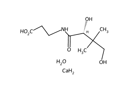 CC(C)(CO)[C@@H](O)C(=O)NCCC(=O)O.O.[CaH2]